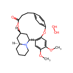 COc1cc2c(cc1OC)[C@@H]1C[C@H](C[C@@H]3CCCCN31)OC(=O)CCc1ccc(cc1)O2.OO